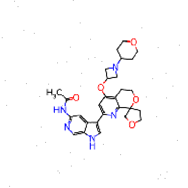 CC(=O)Nc1cc2c(-c3cc(OC4CN(C5CCOCC5)C4)c4c(n3)C3(CCOC3)OCC4)c[nH]c2cn1